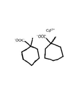 CC1(C(=O)[O-])CCCCC1.CC1(C(=O)[O-])CCCCC1.[Cd+2]